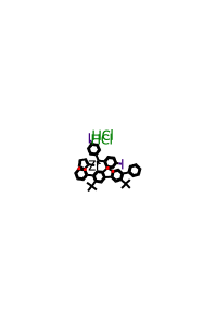 CC(C)(C)c1cc2c(cc1-c1ccccc1)Cc1c-2cc(C(C)(C)C)c(-c2ccccc2)[c]1[Zr]([C]1=CC=CC1)=[C](c1ccc(I)cc1)c1ccc(I)cc1.Cl.Cl